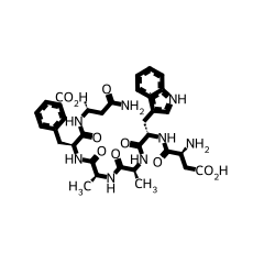 C[C@H](NC(=O)[C@H](C)NC(=O)[C@H](Cc1c[nH]c2ccccc12)NC(=O)[C@@H](N)CC(=O)O)C(=O)N[C@@H](Cc1ccccc1)C(=O)N[C@@H](CC(N)=O)C(=O)O